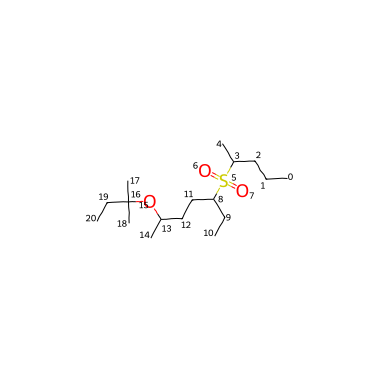 CCCC(C)S(=O)(=O)C(CC)CCC(C)OC(C)(C)CC